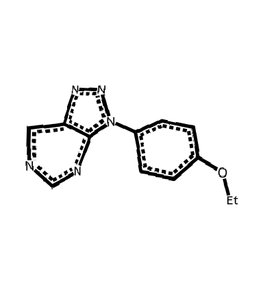 CCOc1ccc(-n2nnc3cn[c]nc32)cc1